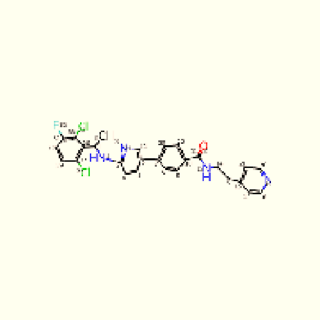 CC(Nc1ccc(-c2ccc(C(=O)NCCc3ccncc3)cc2)cn1)c1c(Cl)ccc(F)c1Cl